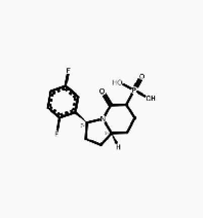 O=C1C(P(=O)(O)O)CC[C@@H]2CC[C@@H](c3cc(F)ccc3F)N12